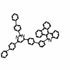 c1ccc(-c2ccc(-c3cc(-c4ccc(-c5cccc(-c6nc7ccccc7c7c8ccccc8c8ccccc8c67)c5)cc4)nc(-c4ccc(-c5ccccc5)cc4)n3)cc2)cc1